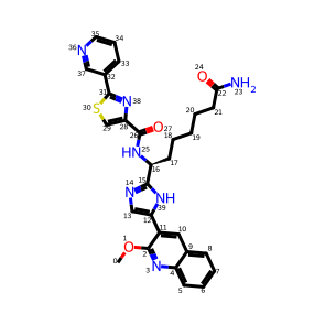 COc1nc2ccccc2cc1-c1cnc([C@H](CCCCCC(N)=O)NC(=O)c2csc(-c3cccnc3)n2)[nH]1